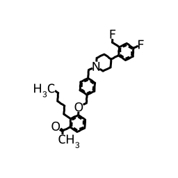 CCCCCc1c(OCc2ccc(CN3CCC(c4ccc(F)cc4CF)CC3)cc2)cccc1C(C)=O